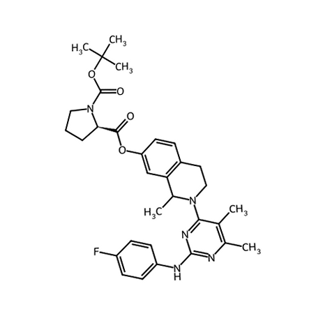 Cc1nc(Nc2ccc(F)cc2)nc(N2CCc3ccc(OC(=O)[C@H]4CCCN4C(=O)OC(C)(C)C)cc3C2C)c1C